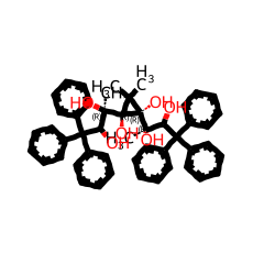 CC1(C)[C@@](O)([C@](C)(O)C(O)C(c2ccccc2)(c2ccccc2)c2ccccc2)[C@]1(O)[C@](C)(O)C(O)C(c1ccccc1)(c1ccccc1)c1ccccc1